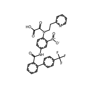 O=C(O)C(=O)N(CCc1ccccn1)c1ccc(NC(=O)c2ccccc2-c2ccc(C(F)(F)F)cc2)cc1[N+](=O)[O-]